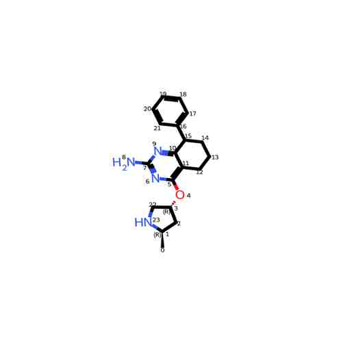 C[C@@H]1C[C@@H](Oc2nc(N)nc3c2CCCC3c2ccccc2)CN1